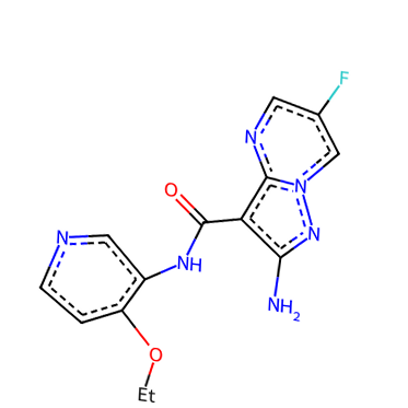 CCOc1ccncc1NC(=O)c1c(N)nn2cc(F)cnc12